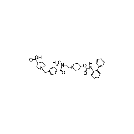 CN(CCN1CCC(OC(=O)Nc2ccccc2-c2ccccc2)CC1)C(=O)c1ccc(CN2CCC(C(=O)O)CC2)cc1